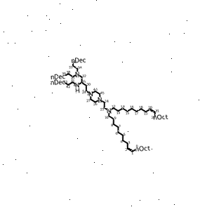 CCCCCCCC/C=C\CCCCCCCCN(CCCCCCCC/C=C\CCCCCCCC)CCN1CCN(CCC(CN(CCCCCCCCCCCC)CCCCCCCCCCCC)NCCCCCCCCCCCC)CC1